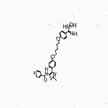 Cc1nc(-c2ccc(OCCCCCOc3ccc(C(=N)NO)cc3)cc2)c(NC(=O)c2ccncc2)s1